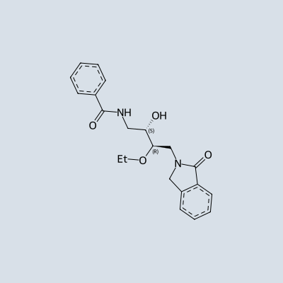 CCO[C@H](CN1Cc2ccccc2C1=O)[C@@H](O)CNC(=O)c1ccccc1